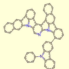 c1ccc(-n2c3ccccc3c3cc(-c4cccc5c6cc7ccccc7c7c8c9c%10cccc%11c%12cc%13ccccc%13cc%12n(c9cnc8n(c45)c67)c%11%10)ccc32)cc1